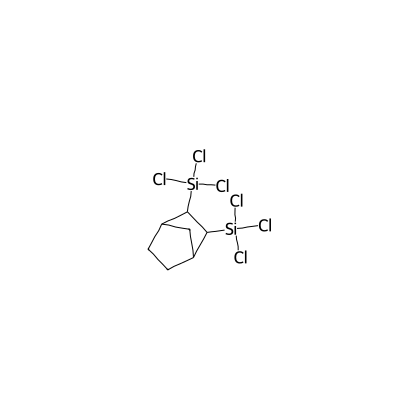 Cl[Si](Cl)(Cl)C1C2CCC(C2)C1[Si](Cl)(Cl)Cl